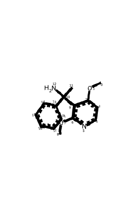 COc1ccnc(OC)c1C(C)(N)c1ccccc1